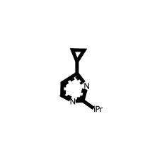 CC(C)c1n[c]cc(C2CC2)n1